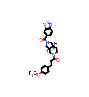 O=C(CCc1ccc(OC(F)(F)F)cc1)N1CC[C@H]2CN(C(=O)c3ccc4[nH]nnc4c3)C[C@@H]2C1